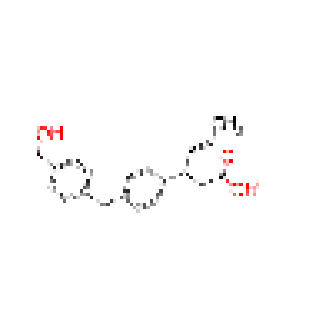 CC=CC(CC(=O)O)c1ccc(Cc2ccc(CO)cc2)cc1